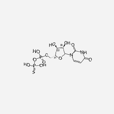 O=c1ccn(C2O[C@H](COP(=O)(O)OP(O)(O)=S)[C@@H](O)[C@H]2O)c(=O)[nH]1